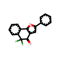 O=C1c2cc(-c3ccccc3)oc2-c2ccccc2C1(F)F